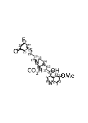 COc1ccc2nccc(C(O)CC[C@@H]3CCN(CCCSc4cc(F)cc(Cl)c4)C[C@@H]3C(=O)O)c2c1